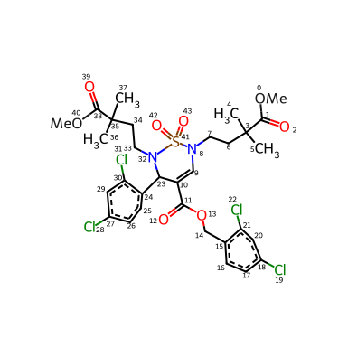 COC(=O)C(C)(C)CCN1C=C(C(=O)OCc2ccc(Cl)cc2Cl)C(c2ccc(Cl)cc2Cl)N(CCC(C)(C)C(=O)OC)S1(=O)=O